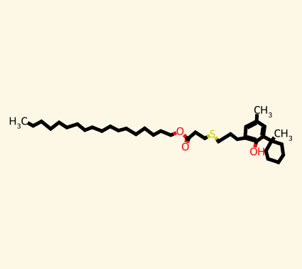 CCCCCCCCCCCCCCCCCCOC(=O)CCSCCCc1cc(C)cc(C2(C)CCCCC2)c1O